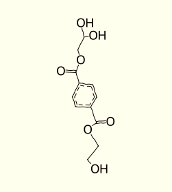 O=C(OCCO)c1ccc(C(=O)OCC(O)O)cc1